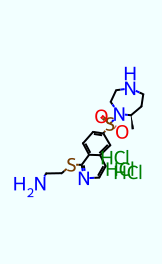 C[C@@H]1CCNCCN1S(=O)(=O)c1ccc2c(SCCN)nccc2c1.Cl.Cl.Cl